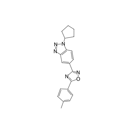 Cc1ccc(-c2nc(-c3ccc4c(c3)nnn4C3CCCC3)no2)cc1